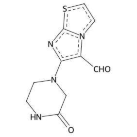 O=Cc1c(N2CCNC(=O)C2)nc2sccn12